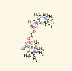 CN(CC(=O)OCCOC(=O)CN(C)C1CC(C)(C)N(C)C(C)(C)C1)C1CC(C)(C)N(C)C(C)(C)C1